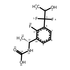 CC(O)C(F)(F)c1cccc([C@@H](C)NC(=O)O)c1F